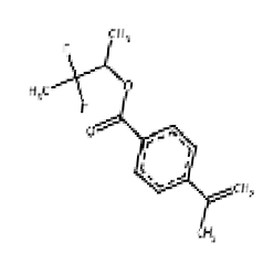 C=C(C)c1ccc(C(=O)OC(C)C(C)(F)F)cc1